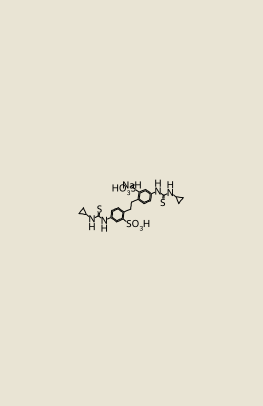 O=S(=O)(O)c1cc(NC(=S)NC2CC2)ccc1CCc1ccc(NC(=S)NC2CC2)cc1S(=O)(=O)O.[NaH]